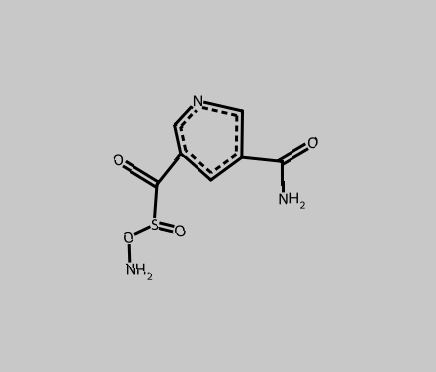 NOS(=O)C(=O)c1cncc(C(N)=O)c1